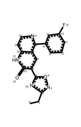 CCc1noc(-c2cc3c(-c4cccc(F)c4)nccc3[nH]c2=O)n1